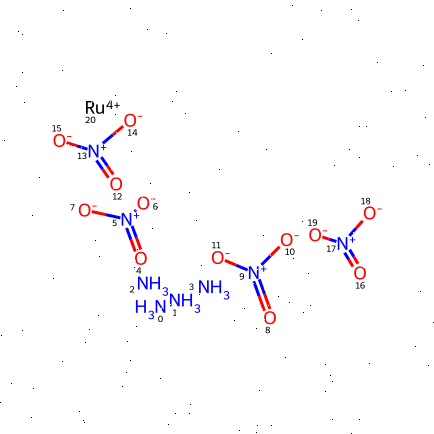 N.N.N.N.O=[N+]([O-])[O-].O=[N+]([O-])[O-].O=[N+]([O-])[O-].O=[N+]([O-])[O-].[Ru+4]